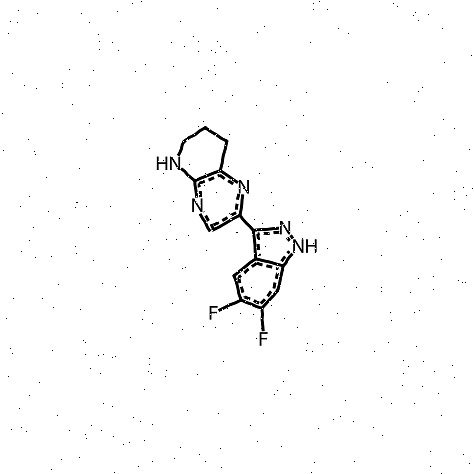 Fc1cc2[nH]nc(-c3cnc4c(n3)CCCN4)c2cc1F